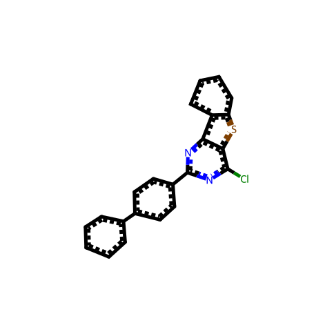 Clc1nc(-c2ccc(-c3ccccc3)cc2)nc2c1sc1ccccc12